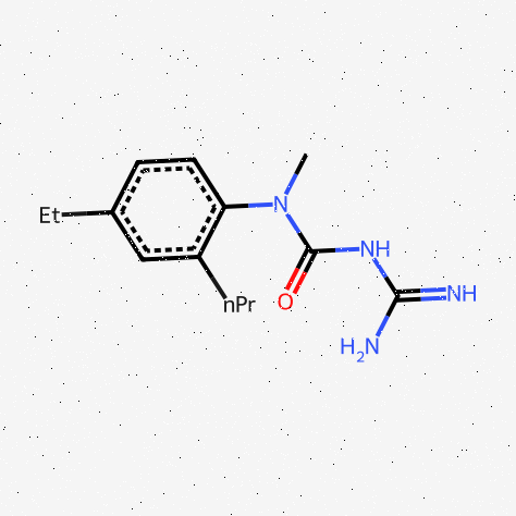 CCCc1cc(CC)ccc1N(C)C(=O)NC(=N)N